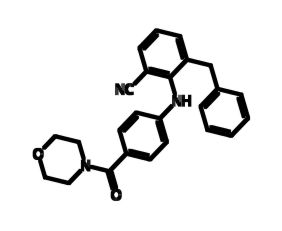 N#Cc1cccc(Cc2ccccc2)c1Nc1ccc(C(=O)N2CCOCC2)cc1